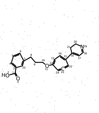 O=C(O)c1cccc(CCCOC2=CC=C(C3=CC=NCC3)C=C=C2)c1